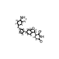 Cc1cc(Cn2cc(-c3ccc4c(C5CCC(=O)NC5=O)coc4c3)cn2)ccc1N